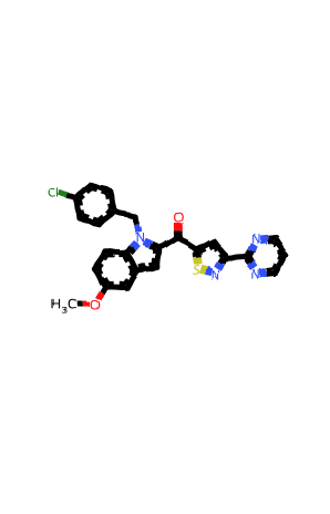 COc1ccc2c(c1)cc(C(=O)c1cc(-c3ncccn3)ns1)n2Cc1ccc(Cl)cc1